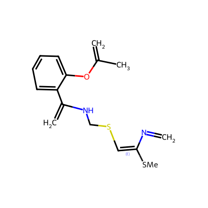 C=N/C(=C\SCNC(=C)c1ccccc1OC(=C)C)SC